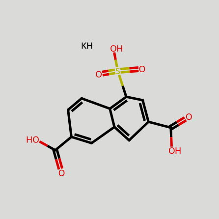 O=C(O)c1ccc2c(S(=O)(=O)O)cc(C(=O)O)cc2c1.[KH]